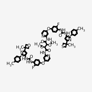 COC(C(=O)Nc1cc(Oc2ccc(NC(=O)Nc3cc(C4(C)COC4)nn3-c3ccc(C)cc3)c(F)c2)ccn1)C(OC)C(=O)Nc1cc(Oc2ccc(NC(=O)Nc3cc(C4(C)CSC4)nn3-c3ccc(C)cc3)c(F)c2)ccn1